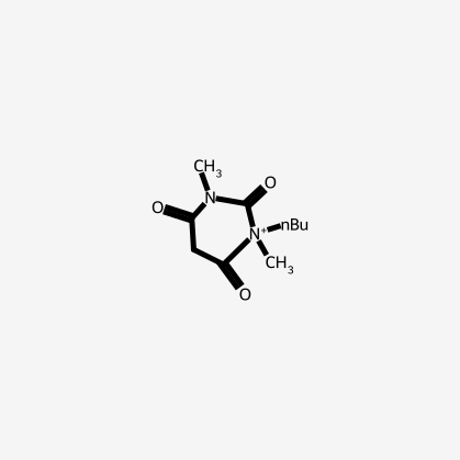 CCCC[N+]1(C)C(=O)CC(=O)N(C)C1=O